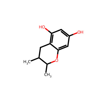 CC1Cc2c(O)cc(O)cc2OC1C